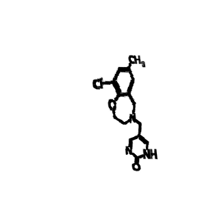 Cc1cc(Cl)c2c(c1)CN(Cc1cnc(=O)[nH]c1)CCO2